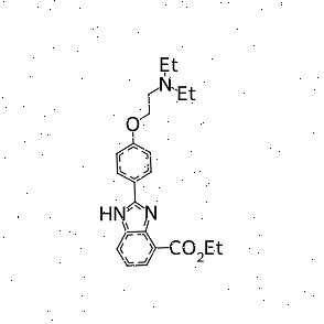 CCOC(=O)c1cccc2[nH]c(-c3ccc(OCCN(CC)CC)cc3)nc12